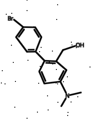 CN(C)c1ccc(-c2ccc(Br)cc2)c(CO)c1